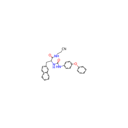 N#CCCNC(=O)C(Cc1ccc2ccccc2c1)NC(=O)Nc1ccc(Oc2ccccc2)cc1